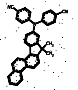 CC1(C)c2cc(N(c3ccc(C#N)cc3)c3ccc(C#N)cc3)ccc2-c2c1ccc1c2ccc2ccccc21